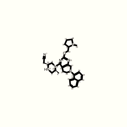 C[C@H]1CN[C@@H](CC#N)CN1c1nc(OCC2CCCN2C)nc2c1CCN(c1cccc3ccccc13)C2